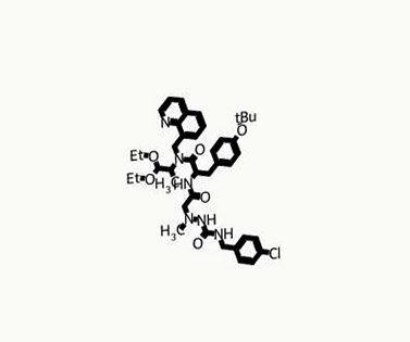 CCOC(OCC)C(C)N(Cc1cccc2cccnc12)C(=O)C(Cc1ccc(OC(C)(C)C)cc1)NC(=O)CN(C)NC(=O)NCc1ccc(Cl)cc1